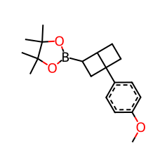 COc1ccc(C23CCC2C(B2OC(C)(C)C(C)(C)O2)C3)cc1